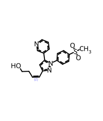 CS(=O)(=O)c1ccc(-n2nc(/C=C\CCO)cc2-c2cccnc2)cc1